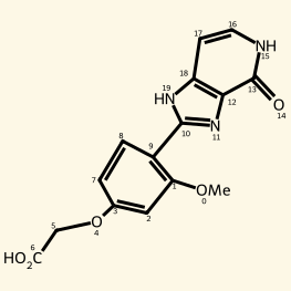 COc1cc(OCC(=O)O)ccc1-c1nc2c(=O)[nH]ccc2[nH]1